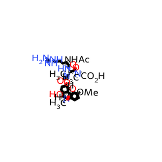 COc1ccc2c3c1O[C@H]1C(OC(=O)N(C)C[C@H](NC(=O)[C@H](CCCNC(=N)N)NC(C)=O)C(=O)N(C)CC(=O)O)=CC[C@@]4(O)[C@@H](C2)N(C)CC[C@]314